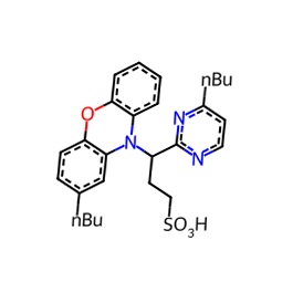 CCCCc1ccc2c(c1)N(C(CCS(=O)(=O)O)c1nccc(CCCC)n1)c1ccccc1O2